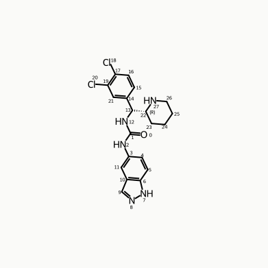 O=C(Nc1ccc2[nH]ncc2c1)NC(c1ccc(Cl)c(Cl)c1)[C@H]1CCCCN1